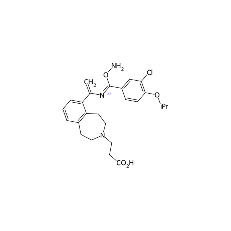 C=C(/N=C(\ON)c1ccc(OC(C)C)c(Cl)c1)c1cccc2c1CCN(CCC(=O)O)CC2